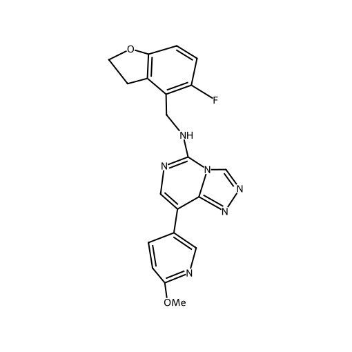 COc1ccc(-c2cnc(NCc3c(F)ccc4c3CCO4)n3cnnc23)cn1